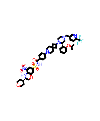 CC(C)Oc1ccccc1[C@@H]1CN(Cc2ccc(C(F)(F)F)nc2)CCN1C1CC2(CCN(c3ccc(C(=O)NS(=O)(=O)c4cc5c(c([N+](=O)[O-])c4)N[C@H](C4CCOCC4)CO5)cc3)CC2)C1